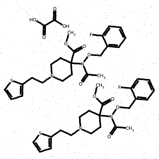 COC(=O)C1(N(OCc2ccccc2F)C(C)=O)CCN(CCc2cccs2)CC1.COC(=O)C1(N(OCc2ccccc2F)C(C)=O)CCN(CCc2cccs2)CC1.O=C(O)C(=O)O